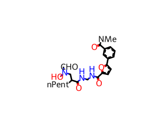 CCCCCC(CN(O)C=O)C(=O)NCNC(=O)c1ccc(-c2cccc(C(=O)NC)c2)o1